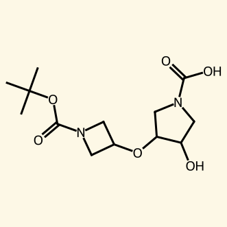 CC(C)(C)OC(=O)N1CC(OC2CN(C(=O)O)CC2O)C1